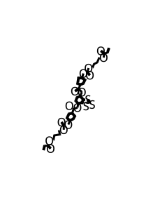 C=CC(=O)OCCCCOC(=O)Oc1ccc(C(=O)Oc2ccc(OC(=O)c3ccc(OC(=O)OCCCCOC(=O)C=C)cc3)c3sc(=S)sc23)cc1